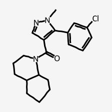 Cn1ncc(C(=O)N2CCCC3CCCCC32)c1-c1cccc(Cl)c1